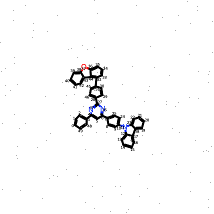 c1ccc(-c2cc(-c3ccc(-n4c5ccccc5c5ccccc54)cc3)nc(-c3ccc(-c4cccc5oc6ccccc6c45)cc3)n2)cc1